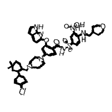 CC1(C)CCC(CN2CCN(c3ccc(C(=O)NS(=O)(=O)c4ccc(NCC5CCOCC5)c([NH+]([O-])O)c4)c(Oc4ccc5cc[nH]c5n4)c3)CC2)=C(c2ccc(Cl)cc2)C1